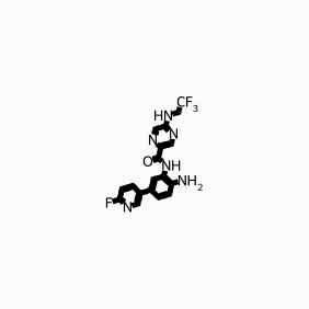 Nc1ccc(-c2ccc(F)nc2)cc1NC(=O)c1cnc(NCC(F)(F)F)cn1